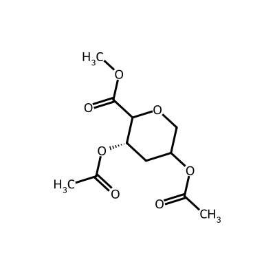 COC(=O)C1OCC(OC(C)=O)C[C@@H]1OC(C)=O